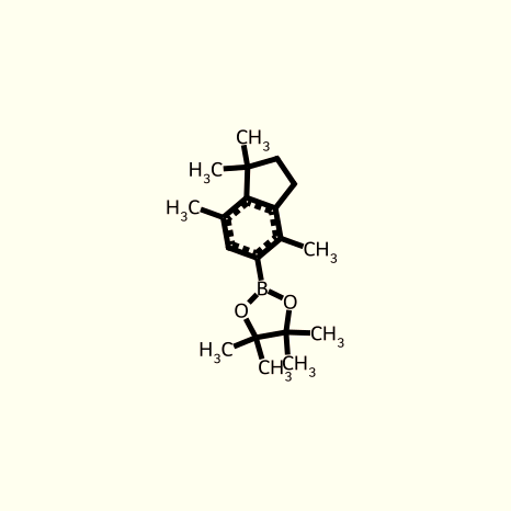 Cc1cc(B2OC(C)(C)C(C)(C)O2)c(C)c2c1C(C)(C)CC2